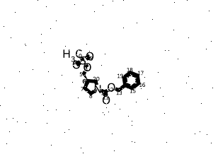 CS(=O)(=O)OC[C@@H]1CCN(C(=O)OCc2ccccc2)C1